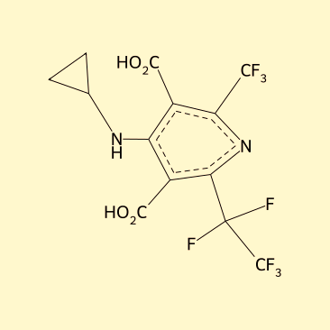 O=C(O)c1c(C(F)(F)F)nc(C(F)(F)C(F)(F)F)c(C(=O)O)c1NC1CC1